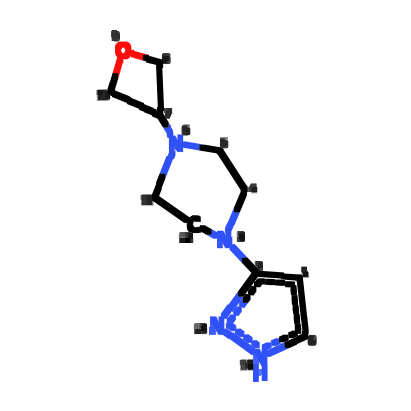 c1cc(N2CCN(C3COC3)CC2)n[nH]1